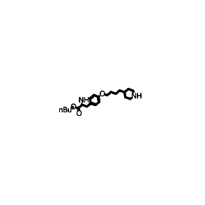 CCCCOC(=O)[C@@H](N)Cc1ccc(OCCCCC2CCNCC2)cc1